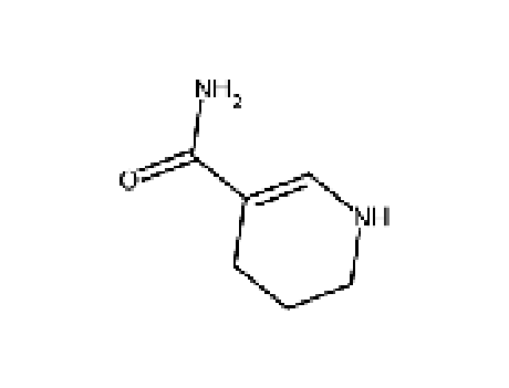 NC(=O)C1=CNCCC1